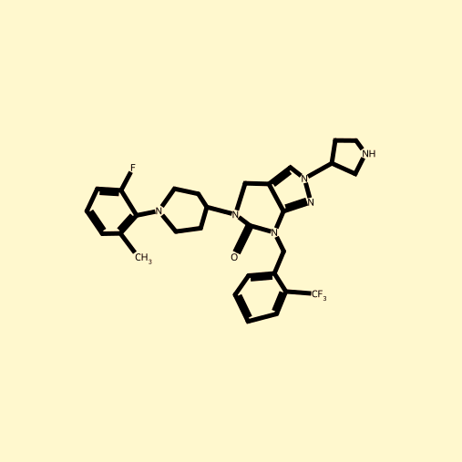 Cc1cccc(F)c1N1CCC(N2Cc3cn(C4CCNC4)nc3N(Cc3ccccc3C(F)(F)F)C2=O)CC1